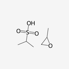 CC(C)S(=O)(=O)O.CC1CO1